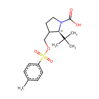 Cc1ccc(S(=O)(=O)OCC2CCN(C(=O)O)[C@H]2C(C)(C)C)cc1